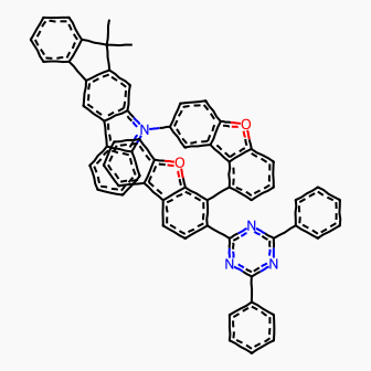 CC1(C)c2ccccc2-c2cc3c4ccccc4n(-c4ccc5oc6cccc(-c7c(-c8nc(-c9ccccc9)nc(-c9ccccc9)n8)ccc8c7oc7ccccc78)c6c5c4)c3cc21